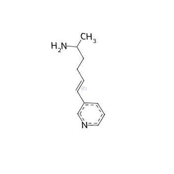 CC(N)CC/C=C/c1cccnc1